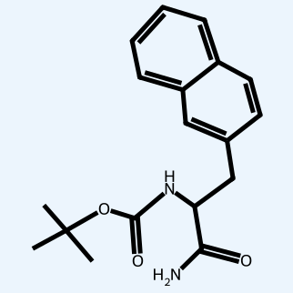 CC(C)(C)OC(=O)NC(Cc1ccc2ccccc2c1)C(N)=O